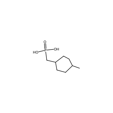 CC1CCC(CP(=O)(O)O)CC1